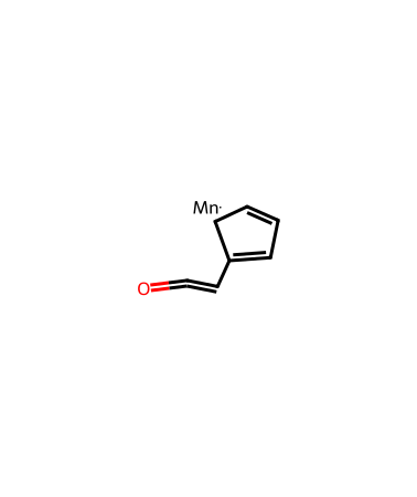 O=C=CC1=CC=CC1.[Mn]